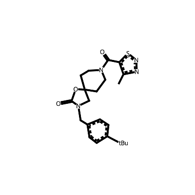 Cc1nnsc1C(=O)N1CCC2(CC1)CN(Cc1ccc(C(C)(C)C)cc1)C(=O)O2